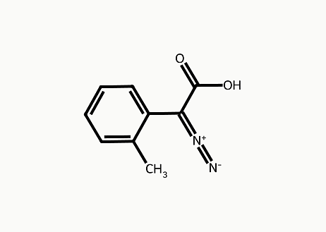 Cc1ccccc1C(=[N+]=[N-])C(=O)O